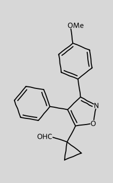 COc1ccc(-c2noc(C3(C=O)CC3)c2-c2ccccc2)cc1